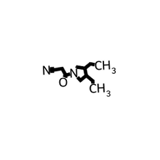 CCC1CN(C(=O)CC#N)CC1CC